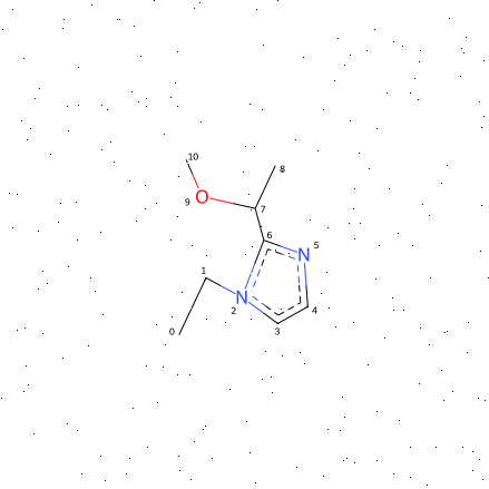 CCn1ccnc1C(C)OC